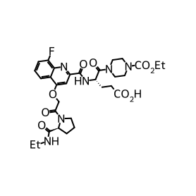 CCNC(=O)[C@@H]1CCCN1C(=O)COc1cc(C(=O)N[C@@H](CCC(=O)O)C(=O)N2CCN(C(=O)OCC)CC2)nc2c(F)cccc12